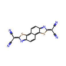 N#CC(C#N)=c1nc2ccc3c(ccc4nc(=C(C#N)C#N)sc43)c2s1